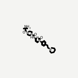 CC(C)(N)C(=O)N1CCN(C(=O)Nc2ccn(-c3ccc(CCN4CCCCCC4)cc3)c(=O)n2)CC1